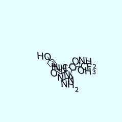 Cc1ccc(C(O)(C(N)=O)C(F)(F)F)cc1-c1cnc2c(N)nc(C(=O)NC34CCC(O)(CC3)C4)cn12